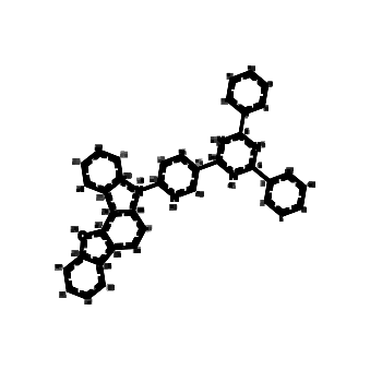 c1ccc(-c2nc(-c3ccccc3)nc(-c3ccc(-n4c5ccccc5c5c6oc7ccccc7c6ccc54)nc3)n2)cc1